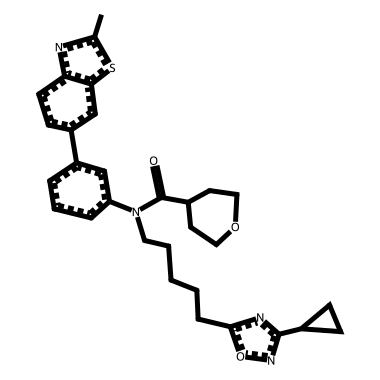 Cc1nc2ccc(-c3cccc(N(CCCCCc4nc(C5CC5)no4)C(=O)C4CCOCC4)c3)cc2s1